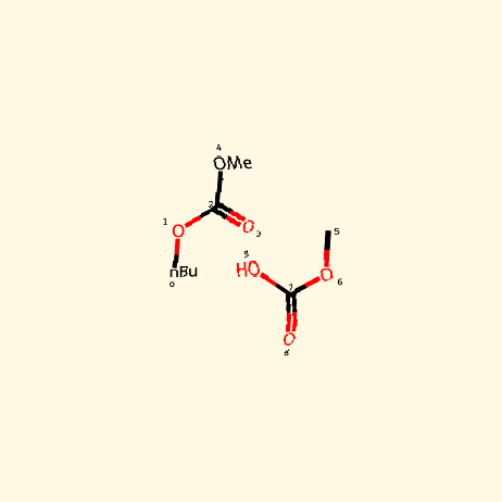 CCCCOC(=O)OC.COC(=O)O